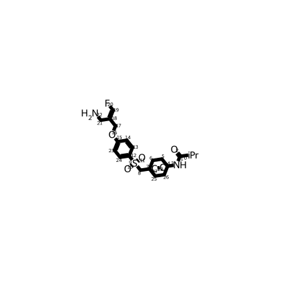 CC(C)C(=O)NC12CCC(CS(=O)(=O)c3ccc(OCC(=CF)CN)cc3)(CC1)CC2